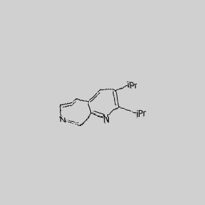 CC(C)c1cc2ccncc2nc1C(C)C